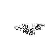 COCCc1ncnc2c1ncn2[C@@H]1O[C@H](COP(=O)(O)O)C[C@H]1O